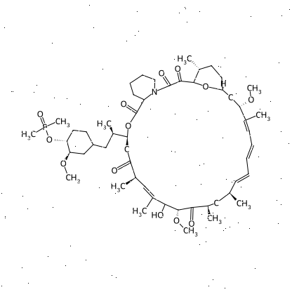 CO[C@H]1C[C@@H]2CC[C@@H](C)C(O2)C(=O)C(=O)N2CCCCC2C(=O)O[C@H]([C@H](C)CC2CC[C@@H](OP(C)(C)=O)[C@H](OC)C2)CC(=O)[C@H](C)/C=C(\C)C(O)[C@@H](OC)C(=O)[C@H](C)C[C@H](C)/C=C/C=C/C=C/1C